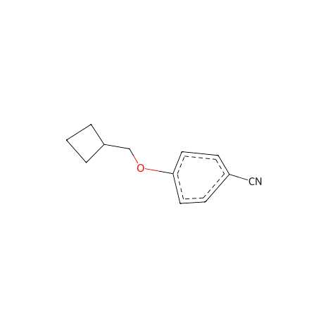 N#Cc1ccc(OCC2CCC2)cc1